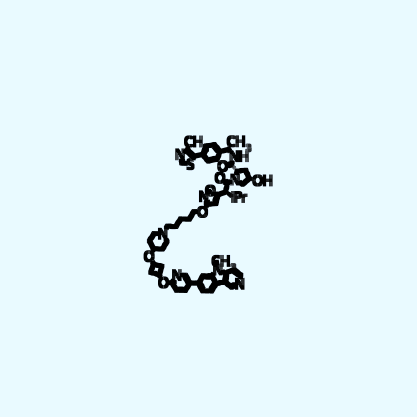 Cc1ncsc1-c1ccc([C@H](C)NC(=O)[C@@H]2C[C@@H](O)CN2C(=O)[C@H](c2cc(OCCCCCN3CCC(OC4CC(Oc5ccc(-c6ccc7c8cnccc8n(C)c7c6)cn5)C4)CC3)no2)C(C)C)cc1